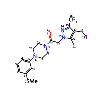 CSc1cccc(N2CCN(C(=O)Cn3nc(C(F)(F)F)c(CI)c3C)CC2)c1